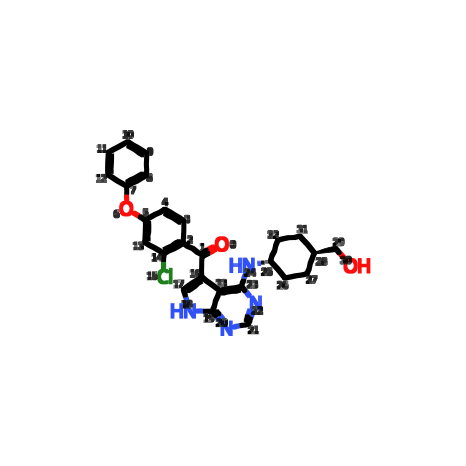 O=C(c1ccc(Oc2ccccc2)cc1Cl)c1c[nH]c2ncnc(N[C@H]3CC[C@H](CO)CC3)c12